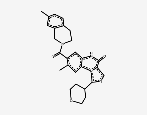 Cc1ccc2c(c1)CN(C(=O)c1cc3[nH]c(=O)c4cnc(C5CCOCC5)n4c3cc1C)CC2